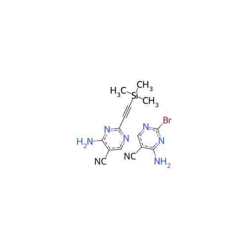 C[Si](C)(C)C#Cc1ncc(C#N)c(N)n1.N#Cc1cnc(Br)nc1N